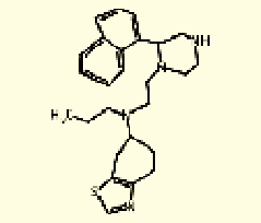 CCCN(CCN1CCNCC1c1cccc2ccccc12)C1CCc2ncsc2C1